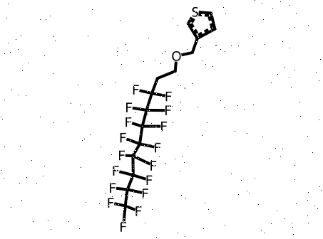 FC(F)(F)C(F)(F)C(F)(F)C(F)(F)C(F)(F)C(F)(F)C(F)(F)C(F)(F)CCOCc1ccsc1